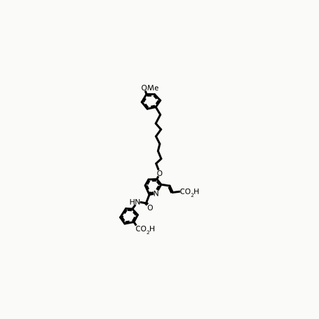 COc1ccc(CCCCCCCCOc2ccc(C(=O)Nc3cccc(C(=O)O)c3)nc2/C=C/C(=O)O)cc1